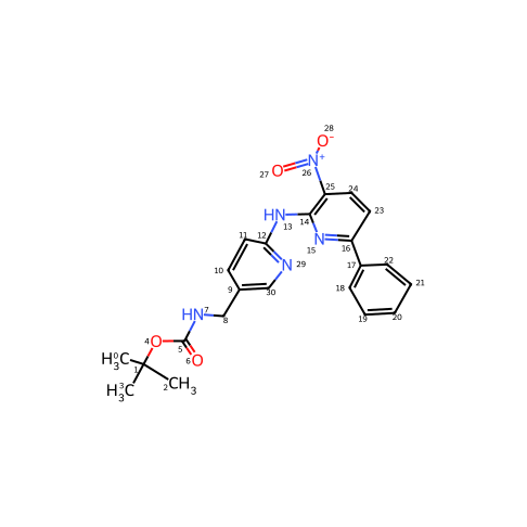 CC(C)(C)OC(=O)NCc1ccc(Nc2nc(-c3ccccc3)ccc2[N+](=O)[O-])nc1